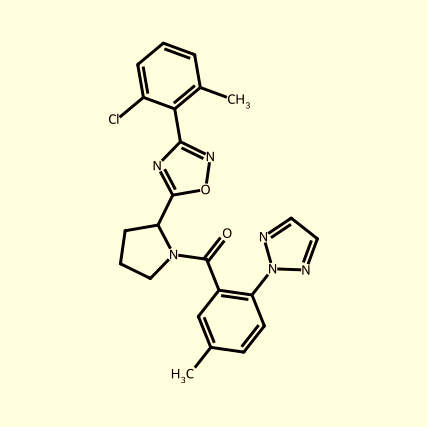 Cc1ccc(-n2nccn2)c(C(=O)N2CCCC2c2nc(-c3c(C)cccc3Cl)no2)c1